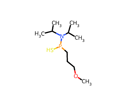 COCCCP(S)N(C(C)C)C(C)C